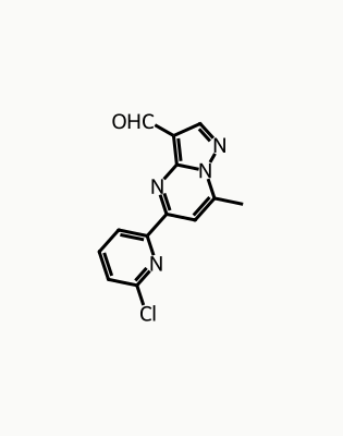 Cc1cc(-c2cccc(Cl)n2)nc2c(C=O)cnn12